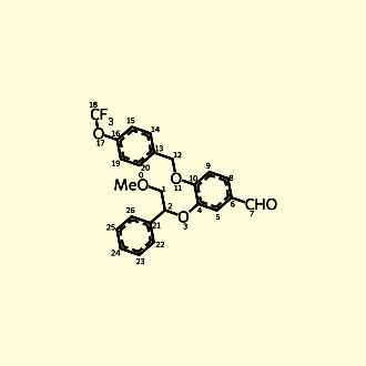 COCC(Oc1cc(C=O)ccc1OCc1ccc(OC(F)(F)F)cc1)c1ccccc1